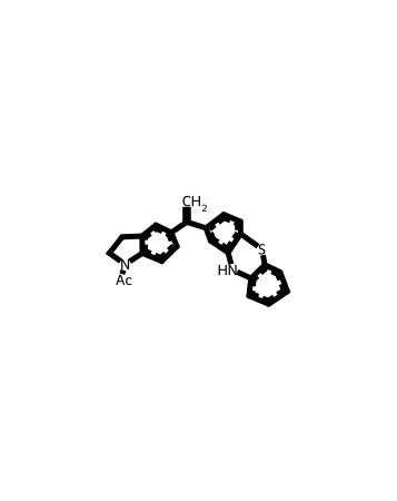 C=C(c1ccc2c(c1)CCN2C(C)=O)c1ccc2c(c1)Nc1ccccc1S2